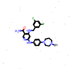 CC(C)N1CCCN(c2ccc(Nc3cc(NCc4cc(F)cc(F)c4)c(C(N)=O)cn3)cc2)CC1